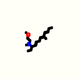 CC/C=C/C(C)=C/C/C=C/C(CC)N(C)CCOC